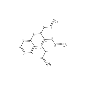 C=CCc1cc2ccccc2c(CC=C)c1CC=C